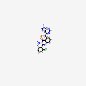 CN(C)n1c(-c2ccccc2Cl)nc2cccc(C(S)c3ncnc4[nH]cnc34)c2c1=O